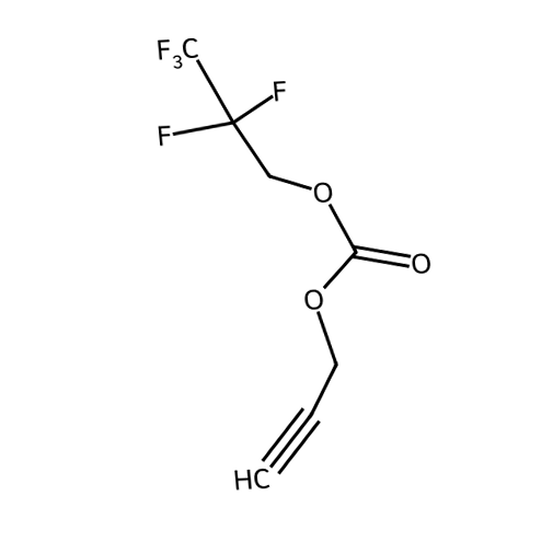 C#CCOC(=O)OCC(F)(F)C(F)(F)F